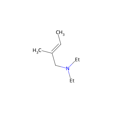 CC=C(C)CN(CC)CC